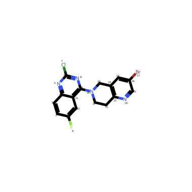 Fc1ccc2nc(Cl)nc(N3CCc4ncc(Br)cc4C3)c2c1